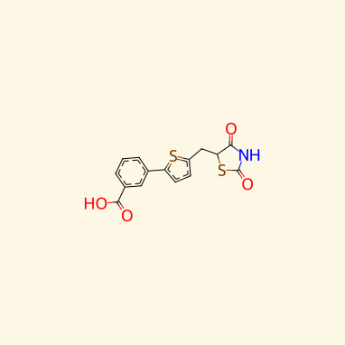 O=C1NC(=O)C(Cc2ccc(-c3cccc(C(=O)O)c3)s2)S1